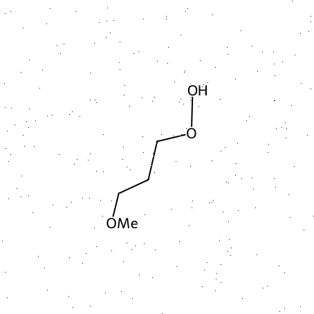 COCCCOO